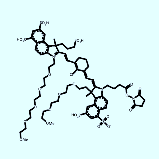 COCCOCCOCCOCCOCC[N+]1=C(/C=C/C2=C(Cl)C(=C/C=C3/N(CCCC(=O)ON4C(=O)CCC4=O)c4ccc5c(S(=O)(=O)[O-])cc(S(=O)(=O)O)cc5c4C3(C)CCOCCOCCOCCOC)/CCC2)C(C)(CCCS(=O)(=O)O)c2c1ccc1c(S(=O)(=O)O)cc(S(=O)(=O)O)cc21